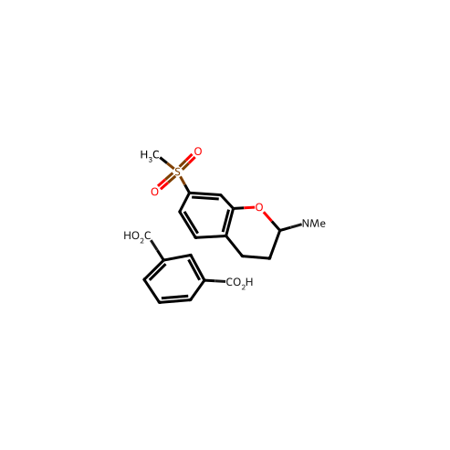 CNC1CCc2ccc(S(C)(=O)=O)cc2O1.O=C(O)c1cccc(C(=O)O)c1